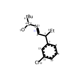 CCC(/C=N/[S+]([O-])C(C)(C)C)c1cccc(Cl)c1